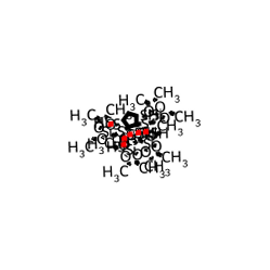 CCO[Si](CS(S)(SS)C1(S(S)(C[Si](OCC)(OCC)OCC)SS)CCCC1(S(S)(C[Si](OCC)(OCC)OCC)SS)S(S)(C[Si](OCC)(OCC)OCC)SS)(OCC)OCC